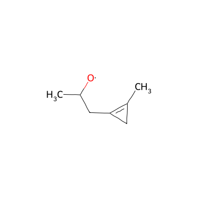 CC1=C(CC(C)[O])C1